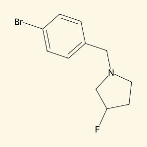 FC1CCN(Cc2ccc(Br)cc2)C1